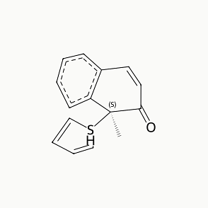 C[C@@]1([SH]2C=CC=C2)C(=O)C=Cc2ccccc21